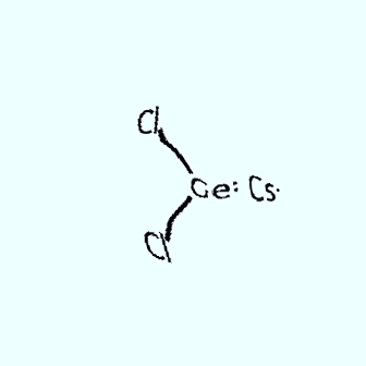 [Cl][Ge][Cl].[Cs]